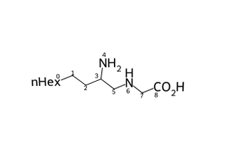 CCCCCCCCC(N)CNCC(=O)O